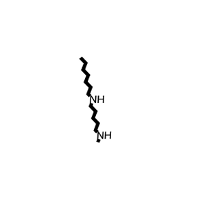 CCCCCCCNCCCCCNC